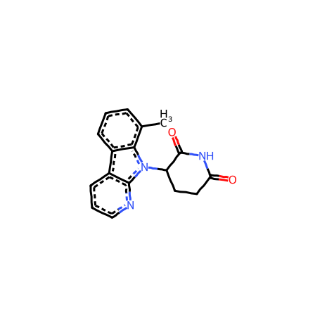 Cc1cccc2c3cccnc3n(C3CCC(=O)NC3=O)c12